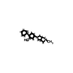 CN1CC2CN(c3ccc(-c4ccccc4)c(O)c3)CC2C1